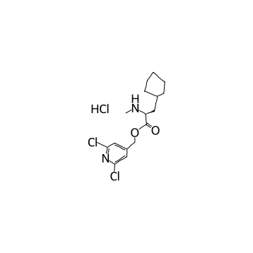 CN[C@@H](CC1CCCCC1)C(=O)OCc1cc(Cl)nc(Cl)c1.Cl